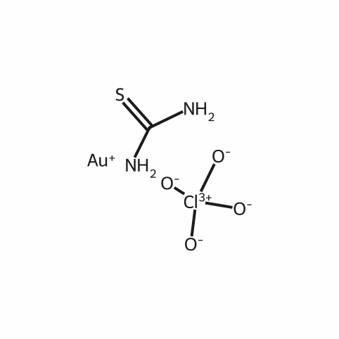 NC(N)=S.[Au+].[O-][Cl+3]([O-])([O-])[O-]